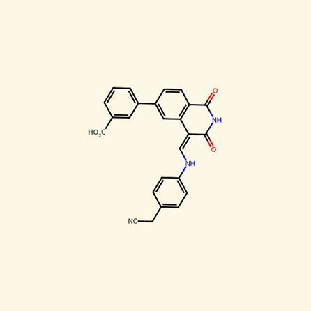 N#CCc1ccc(NC=C2C(=O)NC(=O)c3ccc(-c4cccc(C(=O)O)c4)cc32)cc1